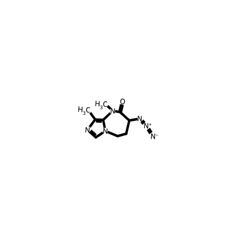 Cc1ncn2c1N(C)C(=O)C(N=[N+]=[N-])CC2